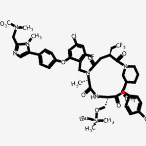 C[C@H]1C(=O)N[C@@H](CO[Si](C)(C)C(C)(C)C)C(=O)N(C)[C@@]2(Cc3ccc(Cl)cc3)CCCN(C2)C(=O)[C@H](CC(F)(F)F)CC(=O)N1Cc1c(F)cc(Cl)cc1Oc1ccc(-c2cnc(CN(C)C(=O)O)n2C)cc1